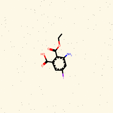 CCOC(=O)c1c(N)cc(I)cc1C(=O)O